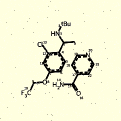 CC(NC(C)(C)C)c1ccc(OCC(F)(F)F)cc1Cl.NC(=O)c1ccncc1